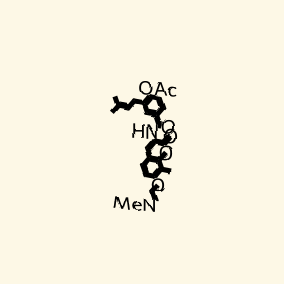 CNCCOc1ccc2cc(NC(=O)c3ccc(OC(C)=O)c(CC=C(C)C)c3)c(=O)oc2c1C